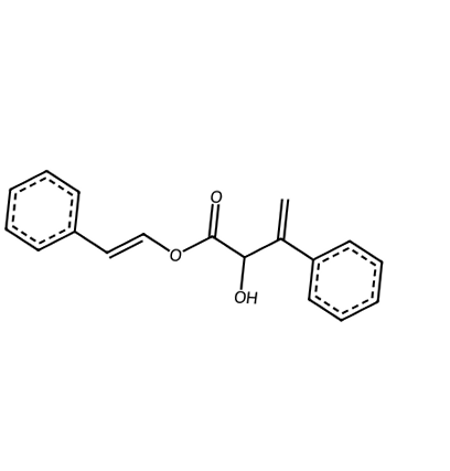 C=C(c1ccccc1)C(O)C(=O)OC=Cc1ccccc1